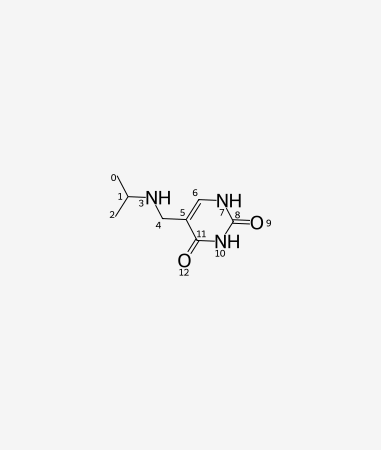 CC(C)NCc1c[nH]c(=O)[nH]c1=O